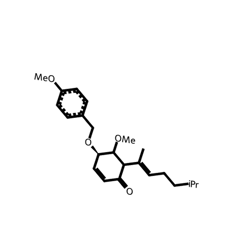 COc1ccc(CO[C@@H]2C=CC(=O)C(C(C)=CCCC(C)C)C2OC)cc1